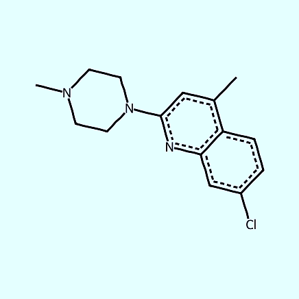 Cc1cc(N2CCN(C)CC2)nc2cc(Cl)ccc12